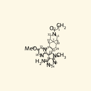 C=CC(=O)N1CCC2(CC=C(c3c(-c4ncc(OC)cn4)c4c(N)ncnc4n3C)CC2)CC1